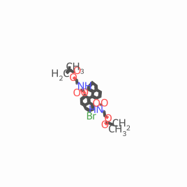 C=C(C)C(=O)OCCNC(=O)Oc1ccc2ccccc2c1-c1c(OC(=O)NCCOC(=O)C(=C)C)ccc2cc(Br)ccc12